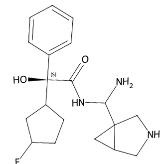 NC(NC(=O)[C@@](O)(c1ccccc1)C1CCC(F)C1)C12CNCC1C2